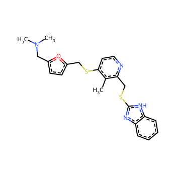 Cc1c(SCc2ccc(CN(C)C)o2)ccnc1CSc1nc2ccccc2[nH]1